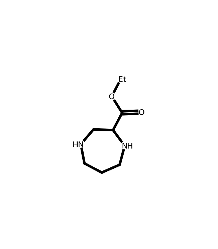 CCOC(=O)C1CNCCCN1